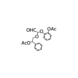 CC(=O)Oc1ccccc1OC(C=O)OCC(OC(C)=O)c1ccccc1